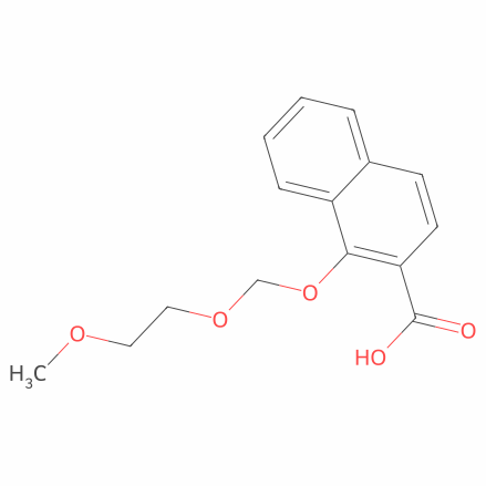 COCCOCOc1c(C(=O)O)ccc2ccccc12